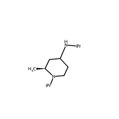 CC(C)NC1CCN(C(C)C)[C@@H](C)C1